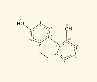 CC.Oc1ccc(-c2ccccc2O)cc1